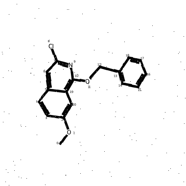 COc1ccc2cc(Cl)nc(OCc3ccccc3)c2c1